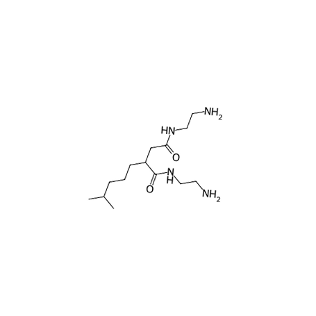 CC(C)CCCC(CC(=O)NCCN)C(=O)NCCN